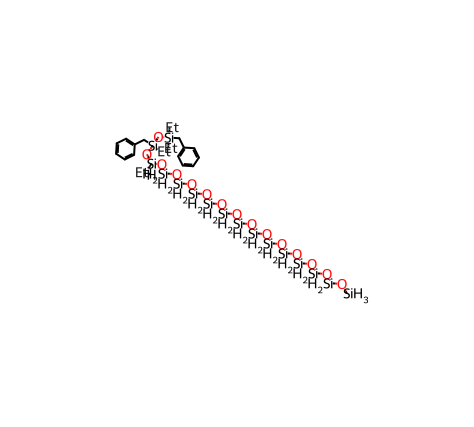 CC[SiH](O[SiH2]O[SiH2]O[SiH2]O[SiH2]O[SiH2]O[SiH2]O[SiH2]O[SiH2]O[SiH2]O[SiH2]O[SiH2]O[SiH2]O[SiH3])O[Si](CC)(Cc1ccccc1)O[Si](CC)(CC)Cc1ccccc1